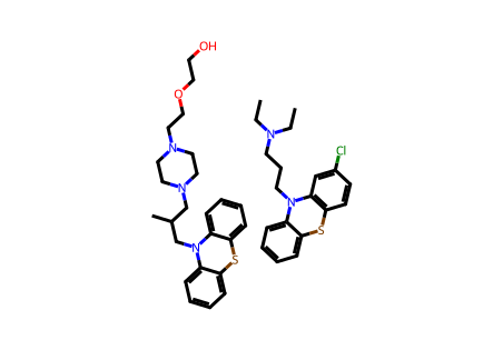 CC(CN1CCN(CCOCCO)CC1)CN1c2ccccc2Sc2ccccc21.CCN(CC)CCCN1c2ccccc2Sc2ccc(Cl)cc21